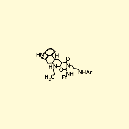 C=CCN1C[C@H](C(=O)N(CCCNC(C)=O)C(=O)NCC)C[C@@H]2c3cccc4[nH]cc(c34)C[C@H]21